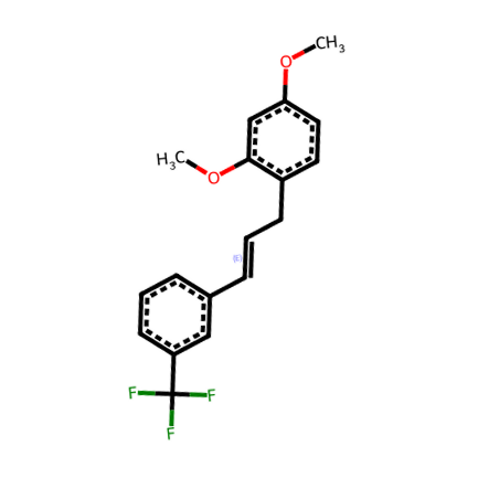 COc1ccc(C/C=C/c2cccc(C(F)(F)F)c2)c(OC)c1